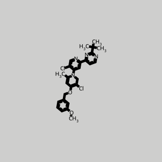 COc1cccc(COC2=C(Cl)CN(c3cc(-c4ccnc(C(C)(C)C)n4)ncc3Cl)C(C)=C2)c1